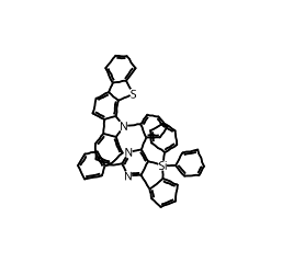 c1ccc(-c2nc(-c3ccccc3-n3c4ccccc4c4ccc5c6ccccc6sc5c43)c3c(n2)-c2ccccc2[Si]3(c2ccccc2)c2ccccc2)cc1